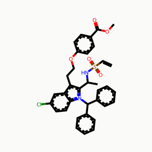 C=CS(=O)(=O)NC(C)c1c(CCOc2ccc(C(=O)OC)cc2)c2cc(Cl)ccc2n1C(c1ccccc1)c1ccccc1